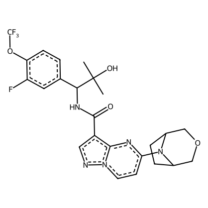 CC(C)(O)C(NC(=O)c1cnn2ccc(N3C4CCC3COC4)nc12)c1ccc(OC(F)(F)F)c(F)c1